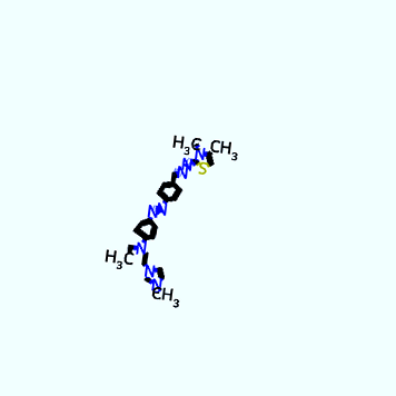 CCN(CCN1C=CN(C)C1)c1ccc(/N=N/c2ccc(/C=N/N=c3\scc(C)n3C)cc2)cc1